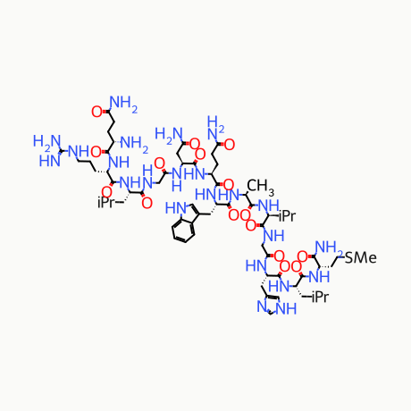 CSCC[C@H](NC(=O)[C@H](CC(C)C)NC(=O)[C@H](Cc1c[nH]cn1)NC(=O)CNC(=O)[C@@H](NC(=O)[C@H](C)NC(=O)[C@H](Cc1c[nH]c2ccccc12)NC(=O)[C@H](CCC(N)=O)NC(=O)[C@H](CC(N)=O)NC(=O)CNC(=O)[C@H](CC(C)C)NC(=O)[C@H](CCCNC(=N)N)NC(=O)[C@@H](N)CCC(N)=O)C(C)C)C(N)=O